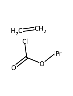 C=C.CC(C)OC(=O)Cl